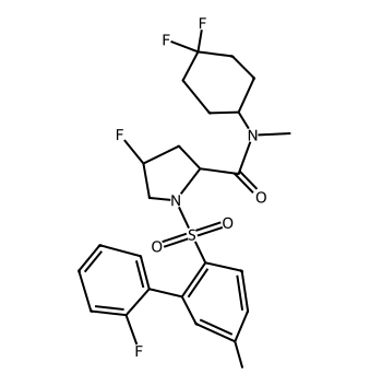 Cc1ccc(S(=O)(=O)N2CC(F)CC2C(=O)N(C)C2CCC(F)(F)CC2)c(-c2ccccc2F)c1